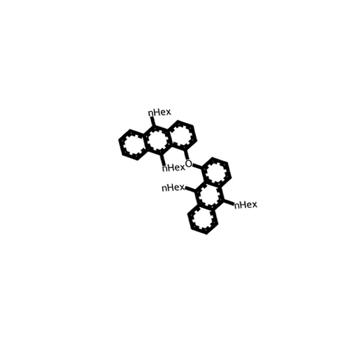 CCCCCCc1c2ccccc2c(CCCCCC)c2c(Oc3cccc4c(CCCCCC)c5ccccc5c(CCCCCC)c34)cccc12